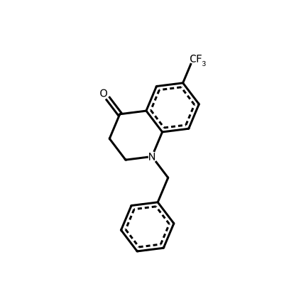 O=C1CCN(Cc2ccccc2)c2ccc(C(F)(F)F)cc21